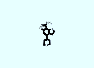 Nc1noc2cc(C3=CCOCC3)c3c(c12)OCC3